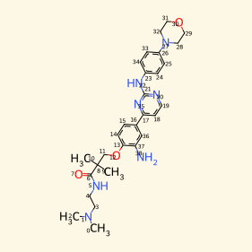 CN(C)CCNC(=O)C(C)(C)COc1ccc(-c2ccnc(Nc3ccc(N4CCOCC4)cc3)n2)cc1N